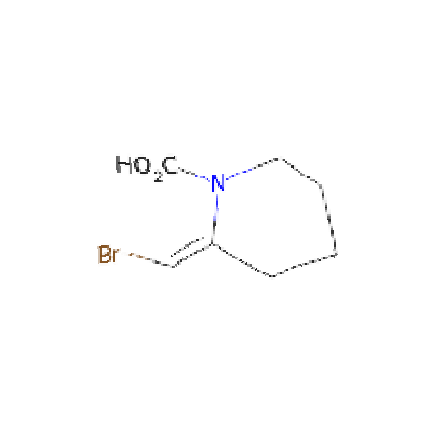 O=C(O)N1CCCCC1=CBr